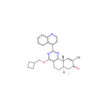 C[C@H]1C(=O)C(C#N)=C[C@@]2(C)c3nc(-c4ccnc5ccccc45)nc(OCC4CCC4)c3CC[C@H]12